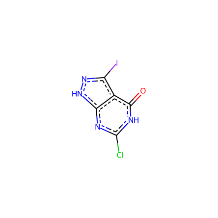 O=c1[nH]c(Cl)nc2[nH]nc(I)c12